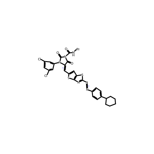 CC(C)NC(=O)N1C(=O)/C(=C\c2cc3sc(/N=N/c4ccc(C5CCCCC5)cc4)nc3s2)N(c2cc(Cl)cc(Cl)c2)C1=O